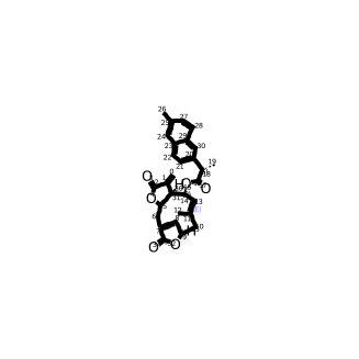 C=C1C(=O)OC2CC3=C[C@@H](C/C(C)=C/[C@@H](OC(=O)[C@@H](C)c4ccc5cc(C)ccc5c4)[C@H]12)OC3=O